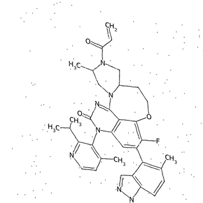 C=CC(=O)N1CC2CCOc3c(F)c(-c4c(C)ccc5[nH]ncc45)cc4c3c(nc(=O)n4-c3c(C)ccnc3C(C)C)N2CC1C